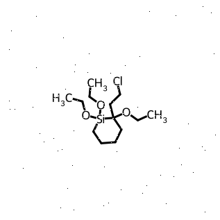 CCOC1(CCCl)CCCC[Si]1(OCC)OCC